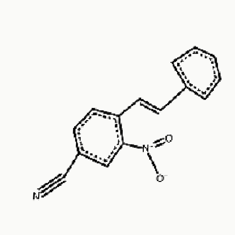 N#Cc1ccc(/C=C/c2ccccc2)c([N+](=O)[O-])c1